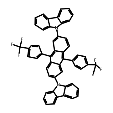 FC(F)(F)c1ccc(-c2c3ccc(-n4c5ccccc5c5ccccc54)cc3c(-c3ccc(C(F)(F)F)cc3)c3ccc(-n4c5ccccc5c5ccccc54)cc23)cc1